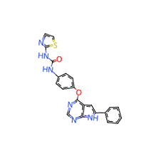 O=C(Nc1ccc(Oc2ncnc3[nH]c(-c4ccccc4)cc23)cc1)Nc1nccs1